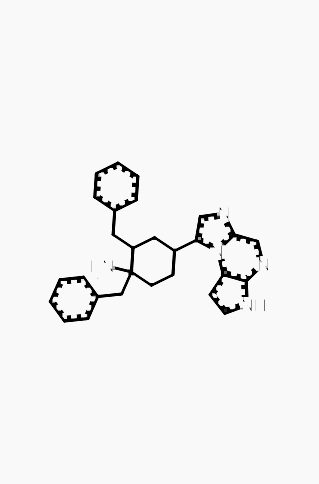 NC1(Cc2ccccc2)CCC(c2cnc3cnc4[nH]ccc4n23)CC1Cc1ccccc1